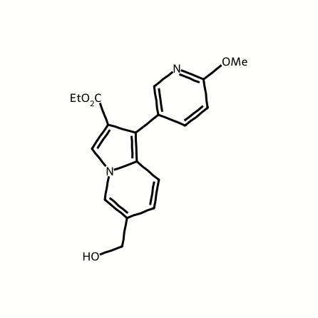 CCOC(=O)c1cn2cc(CO)ccc2c1-c1ccc(OC)nc1